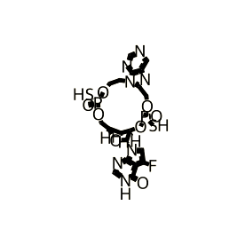 O=c1[nH]cnc2c1c(F)cn2[C@@H]1O[C@@H]2COP(=O)(S)OCCn3c(nc4cncnc43)COP(=O)(S)O[C@@H]1[C@@H]2F